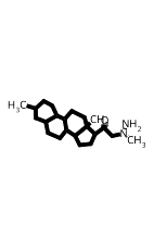 CC1CCC2C(CCC3C2CCC2(C)C(C(=O)CN(C)N)CCC32)C1